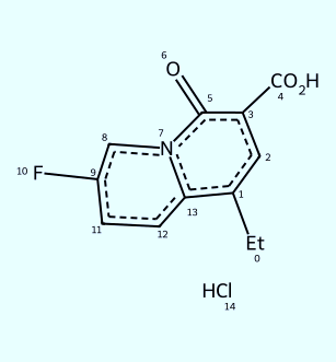 CCc1cc(C(=O)O)c(=O)n2cc(F)ccc12.Cl